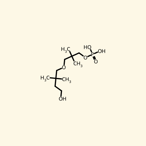 CC(C)(CCO)COCC(C)(C)COP(=O)(O)O